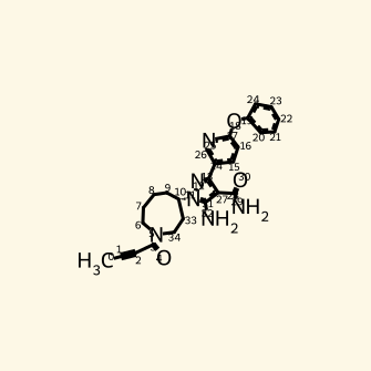 CC#CC(=O)N1CCCC[C@H](n2nc(-c3ccc(Oc4ccccc4)nc3)c(C(N)=O)c2N)CC1